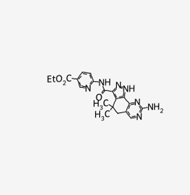 CCOC(=O)c1ccc(NC(=O)c2n[nH]c3c2C(C)(C)Cc2cnc(N)nc2-3)nc1